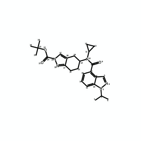 CC(C)n1ncc2c(C(=O)N(C3CC3)C3CCc4nn(C(=O)OC(C)(C)C)cc4C3)cccc21